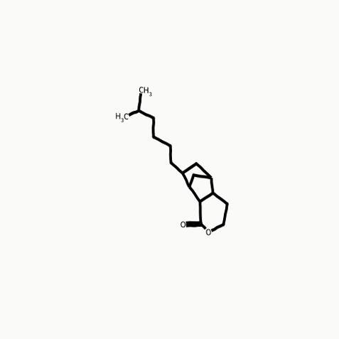 CC(C)CCCCC1CC2CC1C1C(=O)OCCC21